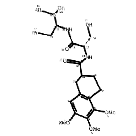 COc1cc2c(c(OC)c1OC)CCC(C(=O)N[C@@H](CO)C(=O)NC(CC(C)C)B(O)O)C2